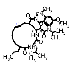 CCCC1CCCC/C=C/CC(C(=O)N(C)Cc2ccc(OC)cc2OC)C[C@@H]([C@@H](O)C(=O)NC(C)C)NC(=O)[C@H](CC(C)C)NC1=O